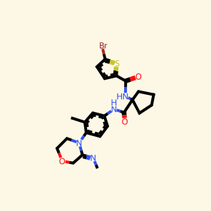 CN=C1COCCN1c1ccc(NC(=O)C2(NC(=O)c3ccc(Br)s3)CCCC2)cc1C